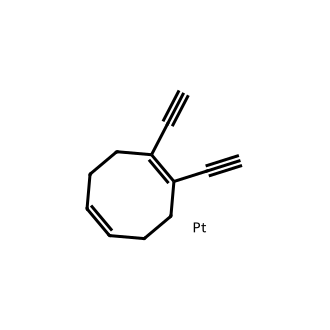 C#CC1=C(C#C)CCC=CCC1.[Pt]